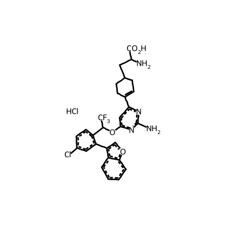 Cl.Nc1nc(OC(c2ccc(Cl)cc2-c2coc3ccccc23)C(F)(F)F)cc(C2=CCC(CC(N)C(=O)O)CC2)n1